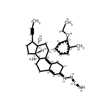 CC#CC1CC[C@H]2[C@@H]3CCC4=C/C(=N/N=C=N)CCC4=C3[C@@H](c3ccc(C)c(OCC)c3)C[C@]12Cl